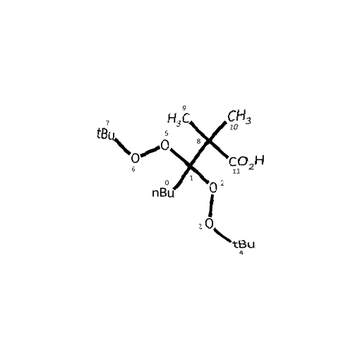 CCCCC(OOC(C)(C)C)(OOC(C)(C)C)C(C)(C)C(=O)O